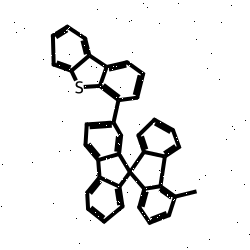 Cc1cccc2c1-c1ccccc1C21c2ccccc2-c2ccc(-c3cccc4c3sc3ccccc34)cc21